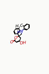 Cc1ccccc1NCC1(c2ccccc2)CC(O)=CC(=O)O1